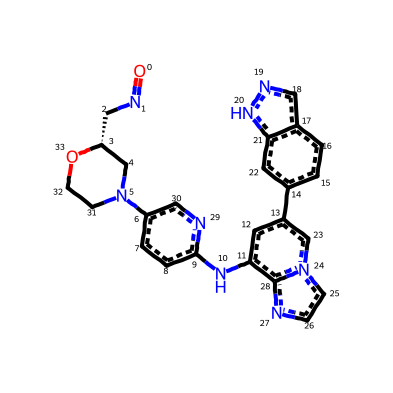 O=NC[C@@H]1CN(c2ccc(Nc3cc(-c4ccc5cn[nH]c5c4)cn4ccnc34)nc2)CCO1